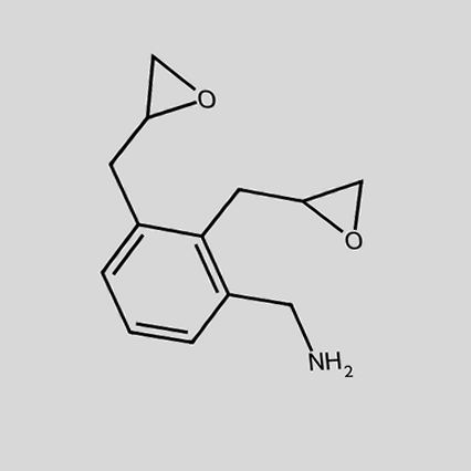 NCc1cccc(CC2CO2)c1CC1CO1